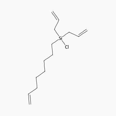 C=CCCCCCC[Si](Cl)(CC=C)CC=C